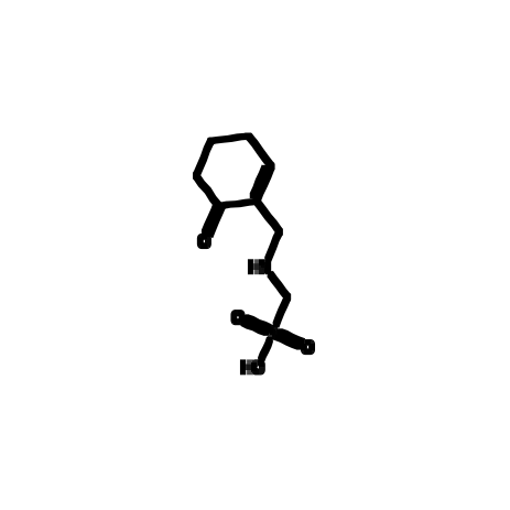 O=C1CCCC=C1CNCS(=O)(=O)O